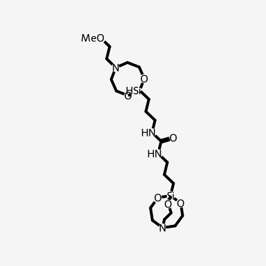 COCCN1CCO[SiH](CCCNC(=O)NCCC[Si]23OCCN(CCO2)CCO3)OCC1